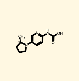 C[C@@H]1CCCN1c1ccc(NC(=O)O)nc1